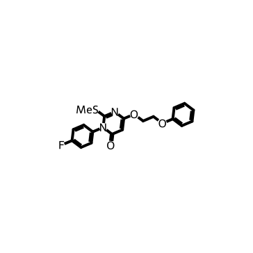 CSc1nc(OCCOc2ccccc2)cc(=O)n1-c1ccc(F)cc1